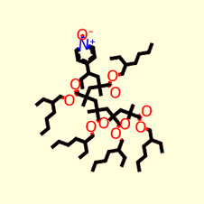 CCCCC(CC)COC(=O)C(C)(C)CC(C)(CC(C)(CC(C)(CC(C)(CC(CC)c1cc[n+]([O-])cc1)C(=O)OCC(CC)CCCC)C(=O)OCC(CC)CCCC)C(=O)OCC(CC)CCCC)C(=O)OCC(CC)CCCC